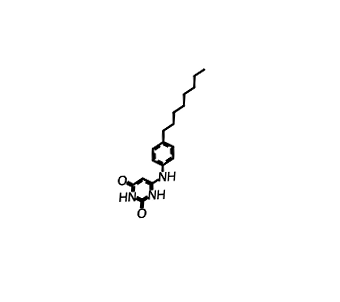 CCCCCCCCc1ccc(Nc2cc(=O)[nH]c(=O)[nH]2)cc1